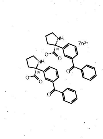 O=C(c1ccccc1)c1cccc([C@@]2(C(=O)[O-])CCCN2)c1.O=C(c1ccccc1)c1cccc([C@@]2(C(=O)[O-])CCCN2)c1.[Zn+2]